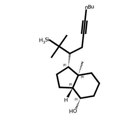 CCCCC#CCC([C@H]1CC[C@H]2[C@@H](O)CCC[C@]12C)C(C)(C)[SiH3]